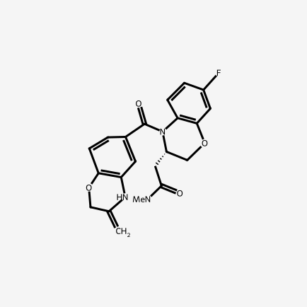 C=C1COc2ccc(C(=O)N3c4ccc(F)cc4OC[C@@H]3CC(=O)NC)cc2N1